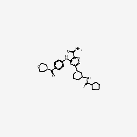 NC(=O)c1nnc(N2CCCC(NC(=O)C3CCCC3)C2)nc1Nc1ccc(C(=O)N2CCOCC2)cc1